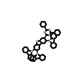 c1ccc(-c2nc(-c3ccccc3)nc(-c3cc4oc5cc(-n6c7ccccc7c7ccccc76)c(-n6c7ccccc7c7ccccc76)cc5c4cc3-n3c4ccccc4c4ccccc43)n2)cc1